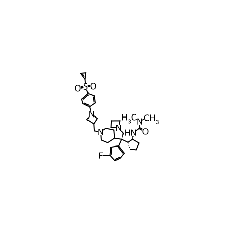 CN(C)C(=O)N[C@H]1CCC[C@@H]1[C@](CN1CCC1)(c1cccc(F)c1)C1CCN(CC2CN(c3ccc(S(=O)(=O)C4=CC4)cc3)C2)CC1